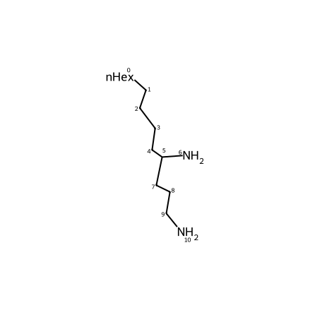 CCCCCCCCCCC(N)CCCN